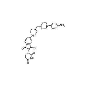 Nc1ccc(N2CCN(CC3CCN(c4ccc5c(c4)C(=O)N(C4CCC(=O)NC4=O)C5=O)CC3)CC2)cc1